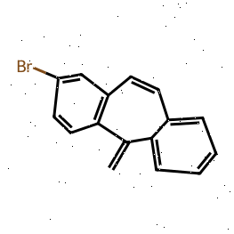 C=C1c2ccccc2C=Cc2cc(Br)ccc21